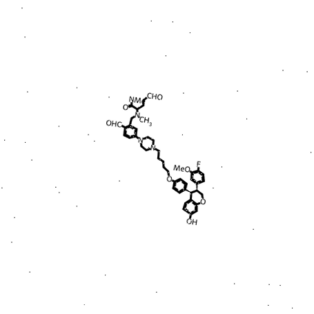 CNC(=O)C(CCC=O)N(C)Cc1cc(N2CCN(CCCCCOc3ccc([C@@H]4c5ccc(O)cc5OC[C@@H]4c4ccc(F)c(OC)c4)cc3)CC2)ccc1C=O